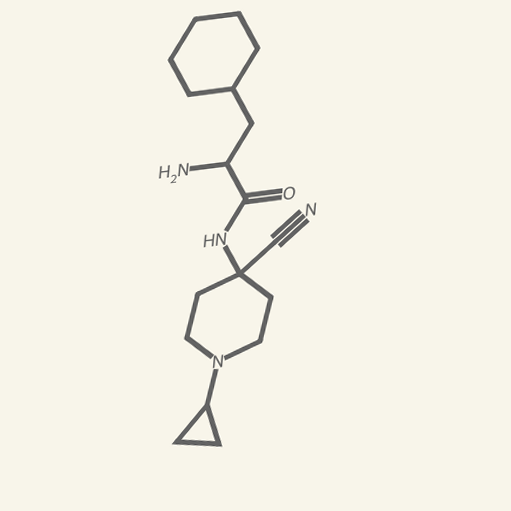 N#CC1(NC(=O)C(N)CC2CCCCC2)CCN(C2CC2)CC1